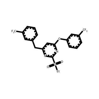 CCS(=O)(=O)c1nc(Cc2cccc(C(F)(F)F)c2)cc(Oc2cccc(C(F)(F)F)c2)n1